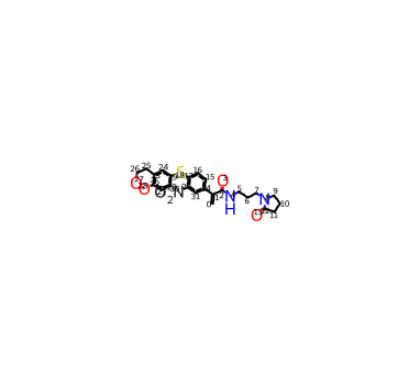 C=C(C(=O)NCCCN1CCCC1=O)c1ccc(Sc2ccc3c(c2)CCOO3)c([N+](=O)[O-])c1